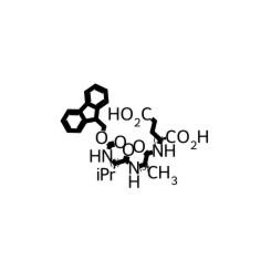 CC(C)[C@H](NC(=O)OCC1c2ccccc2-c2ccccc21)C(=O)N[C@@H](C)C(=O)N[C@@H](CCC(=O)O)C(=O)O